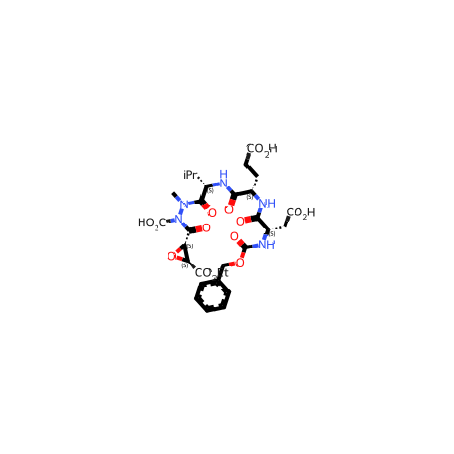 CCOC(=O)[C@H]1O[C@@H]1C(=O)N(C(=O)O)N(C)C(=O)[C@@H](NC(=O)[C@H](CCC(=O)O)NC(=O)[C@H](CC(=O)O)NC(=O)OCc1ccccc1)C(C)C